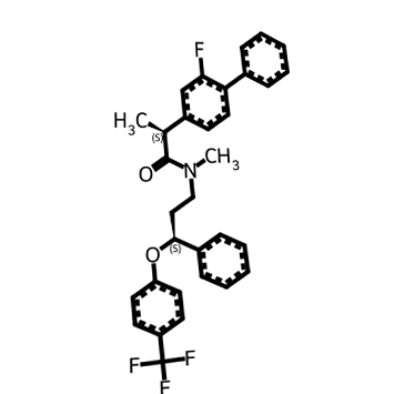 C[C@H](C(=O)N(C)CC[C@H](Oc1ccc(C(F)(F)F)cc1)c1ccccc1)c1ccc(-c2ccccc2)c(F)c1